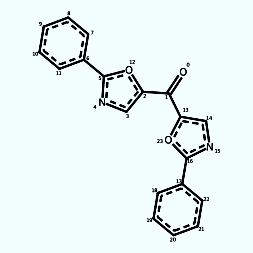 O=C(c1cnc(-c2ccccc2)o1)c1cnc(-c2ccccc2)o1